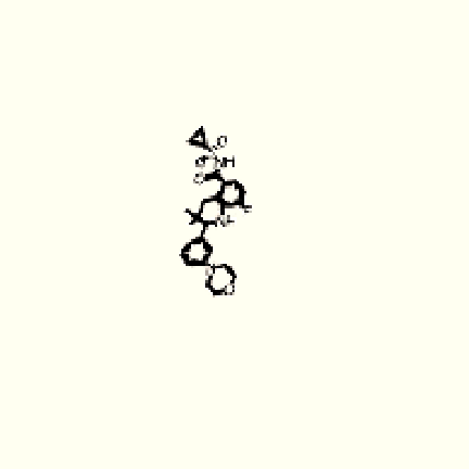 CC1(C)Cc2c(C(=O)NS(=O)(=O)C3CC3)ccc(F)c2NC1c1cccc(N2CCOCC2)c1